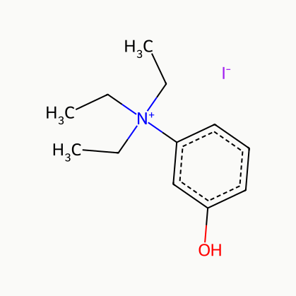 CC[N+](CC)(CC)c1cccc(O)c1.[I-]